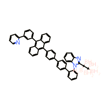 BC(B)(B)C(B)(B)c1nc2ccccc2n1-c1ccccc1-c1ccc(-c2ccc(-c3c4ccccc4c(-c4cccc(-c5ccccn5)c4)c4ccccc34)cc2)cc1